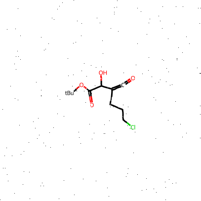 CC(C)(C)OC(=O)C(O)C(=C=O)CCCCl